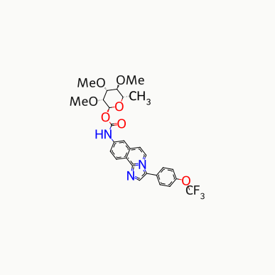 CO[C@@H]1[C@@H](OC)[C@H](C)O[C@@H](OC(=O)Nc2ccc3c(ccn4c(-c5ccc(OC(F)(F)F)cc5)cnc34)c2)[C@@H]1OC